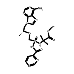 CC(C)OC(=O)C(C)(C)NP(=O)(CO[C@H](C)Cn1cnc2c(N)ncnc21)NC(=O)c1ccncn1